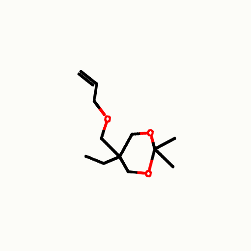 C=CCOCC1(CC)COC(C)(C)OC1